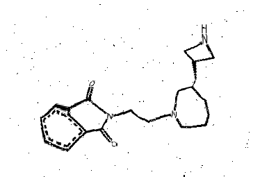 O=C1c2ccccc2C(=O)N1CCN1CCC[C@H](C2CNC2)C1